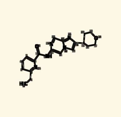 CCc1cccc(C(=O)Nc2cn3cc(C4CCOCC4)nc3cn2)n1